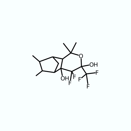 CC1C(C)C2CC1C1C(C)(C)OC(O)(C(F)(F)F)C(F)(F)C21O